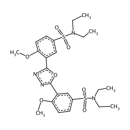 CCN(CC)S(=O)(=O)c1ccc(OC)c(-c2nnc(-c3cc(S(=O)(=O)N(CC)CC)ccc3OC)o2)c1